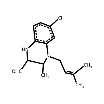 CC(C)=CCN1c2cc(Cl)ccc2NC(C=O)C1C